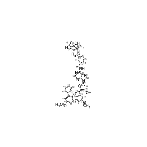 COc1ccc(C(OC[C@H]2O[C@@H](n3cnc4c(NCc5cccc(CO[Si](C)(C)C(C)(C)C)c5)ncnc43)C[C@@H]2O)(c2ccccc2)c2ccc(OC)cc2)cc1